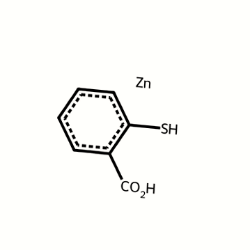 O=C(O)c1ccccc1S.[Zn]